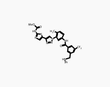 COC(=O)Nc1ncc(-c2cn(-c3cc(NC(=O)c4cc(CNC(C)C)cc(C(F)(F)F)c4)ccc3C)nn2)s1